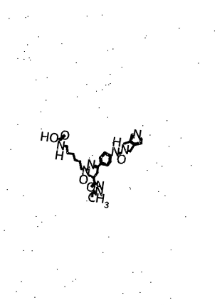 Cc1nnc(C2CC(c3ccc(NC(=O)N4Cc5ccncc5C4)cc3)=NN(CCCCCCNC(=O)O)C2=O)o1